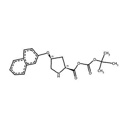 CC(C)(C)OC(=O)OC(=O)[C@@H]1C[C@H](Oc2ccc3ccccc3c2)CN1